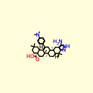 CN(C)c1ccc(C2=C3[C@@H]4CC(C)(C)CC[C@]4(C(=O)O)CC[C@@]3(C)[C@]3(C)CC[C@H]4C(C)(C)c5n[nH]c(N)c5C[C@]4(C)C3C2)cc1